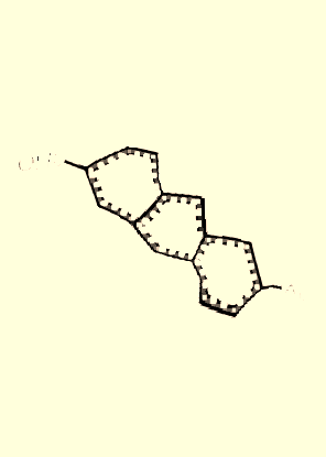 CC(=O)c1ccc2cc3cc(C=O)ccc3cc2c1